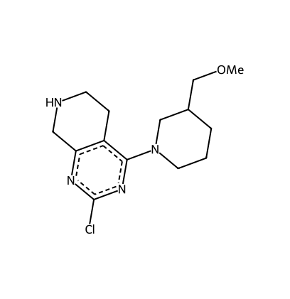 COCC1CCCN(c2nc(Cl)nc3c2CCNC3)C1